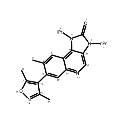 CCCn1c(=O)n(C(C)C)c2c3cc(C)c(-c4c(C)noc4C)cc3ncc21